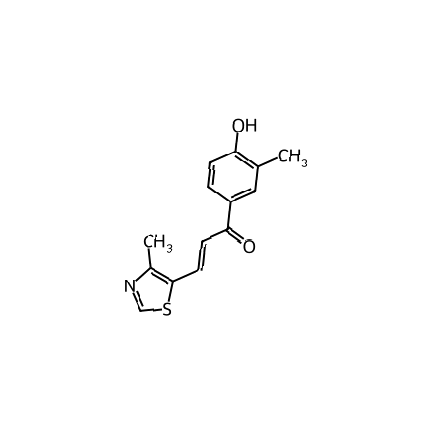 Cc1cc(C(=O)C=Cc2scnc2C)ccc1O